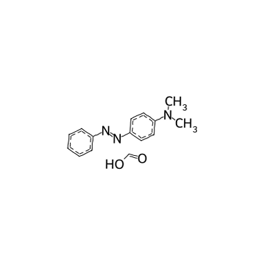 CN(C)c1ccc(N=Nc2ccccc2)cc1.O=CO